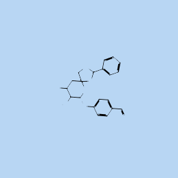 O=Cc1ccc(O[C@@H]2OC3(COC(c4ccccc4)O3)CC(O)C2O)cc1